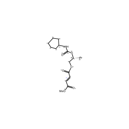 COC(=O)/C=C/C(=O)OC[C@H](OC(=O)NC1CCCCC1)C(C)C